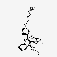 CSC1(c2ccc(OCCCCBr)cc2)Sc2ccccc2N(C)C1=O